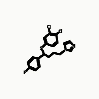 Fc1ccc(C(CCCn2ccnc2)Sc2ccc(Cl)c(Cl)c2)cc1